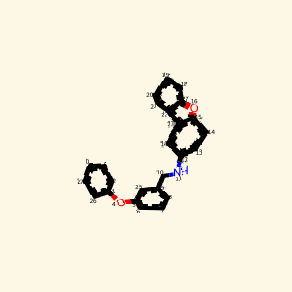 c1ccc(Oc2cccc(CNc3ccc4oc5ccccc5c4c3)c2)cc1